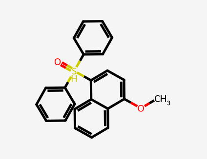 COc1ccc([SH](=O)(c2ccccc2)c2ccccc2)c2ccccc12